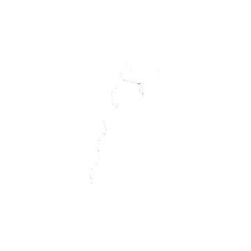 CCC/C=C/CN/N=C(/C)C(=O)O